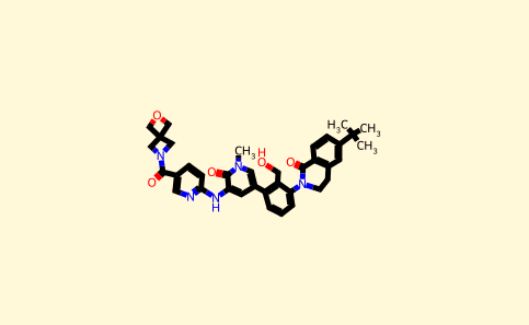 Cn1cc(-c2cccc(N3CCc4cc(C(C)(C)C)ccc4C3=O)c2CO)cc(Nc2ccc(C(=O)N3CC4(COC4)C3)cn2)c1=O